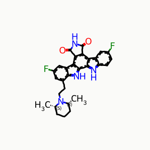 C[C@@H]1CCC[C@H](C)N1CCc1cc(F)cc2c1[nH]c1c3[nH]c4ccc(F)cc4c3c3c(c21)C(=O)NC3=O